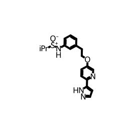 CC(C)[S+]([O-])Nc1cccc(CCOc2ccc(-c3ccn[nH]3)nc2)c1